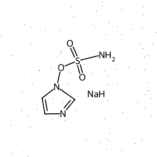 NS(=O)(=O)On1ccnc1.[NaH]